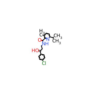 Cc1ccc(C(C)C)nc1C(=O)NCC[C@@H](O)c1ccc(Cl)cc1